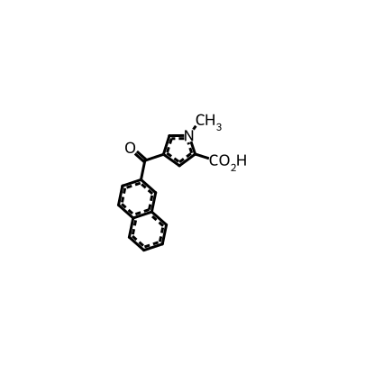 Cn1cc(C(=O)c2ccc3ccccc3c2)cc1C(=O)O